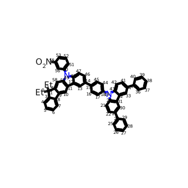 CCC1(CC)c2ccccc2-c2cc3c4cc(-c5ccc(-n6c7ccc(-c8ccccc8)cc7c7cc(-c8ccccc8)ccc76)cc5)ccc4n(-c4cccc([N+](=O)[O-])c4)c3cc21